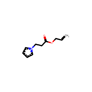 C=CCOC(=O)CCn1cccc1